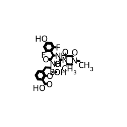 CCN1C[C@H](C)N(C(=O)NC(C(=O)N[C@H]2Cc3cccc(C(=O)O)c3OB2O)c2c(F)cc(O)cc2F)C(=O)C1=O